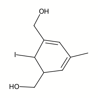 CC1=CC(CO)C(I)C(CO)=C1